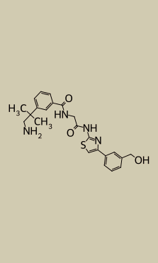 CC(C)(CN)c1cccc(C(=O)NCC(=O)Nc2nc(-c3cccc(CO)c3)cs2)c1